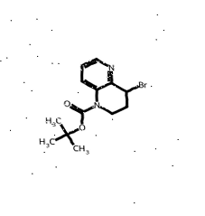 CC(C)(C)OC(=O)N1CCC(Br)c2ncccc21